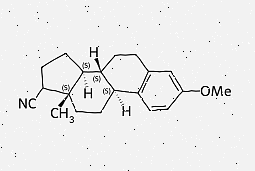 COc1ccc2c(c1)CC[C@@H]1[C@@H]2CC[C@]2(C)C(C#N)CC[C@@H]12